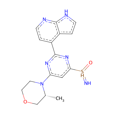 C[C@@H]1COCCN1c1cc([SH](=N)=O)nc(-c2ccnc3[nH]ccc23)n1